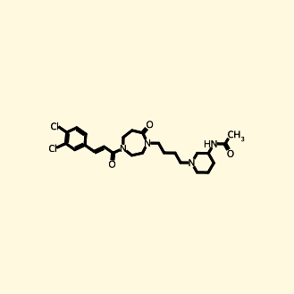 CC(=O)NC1CCCN(CCCCN2CCN(C(=O)/C=C/c3ccc(Cl)c(Cl)c3)CCC2=O)C1